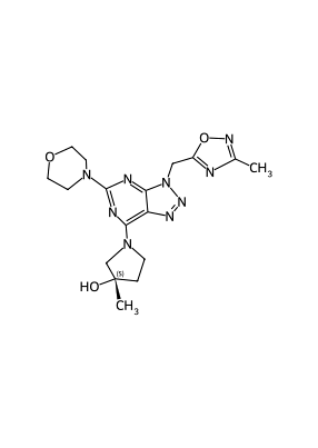 Cc1noc(Cn2nnc3c(N4CC[C@](C)(O)C4)nc(N4CCOCC4)nc32)n1